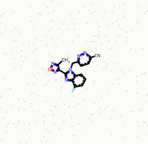 Cc1nonc1-c1nc2c(F)cccc2n1Cc1ccc(C#N)nn1